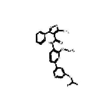 COc1nc(-c2cncc(OC(F)F)c2)ccc1NC(=O)c1c(-c2ccccc2)noc1C